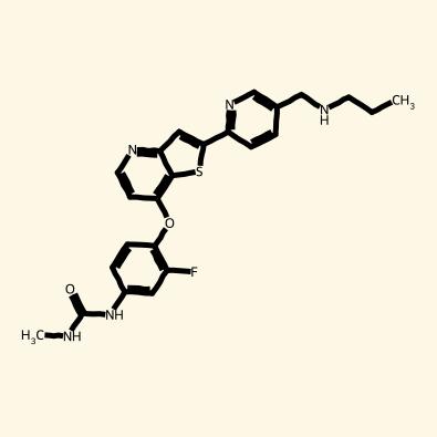 CCCNCc1ccc(-c2cc3nccc(Oc4ccc(NC(=O)NC)cc4F)c3s2)nc1